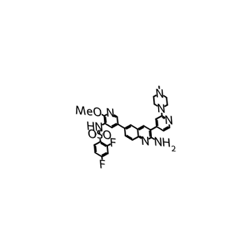 COc1ncc(-c2ccc3nc(N)c(-c4ccnc(N5CCN(C)CC5)c4)cc3c2)cc1NS(=O)(=O)c1ccc(F)cc1F